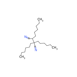 CCCCCCC(C#N)C(C#N)(CCCCCC)CCCCCC